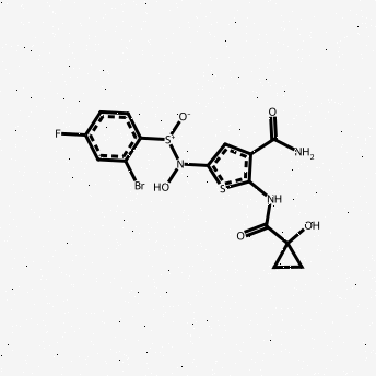 NC(=O)c1cc(N(O)[S+]([O-])c2ccc(F)cc2Br)sc1NC(=O)C1(O)CC1